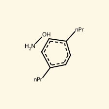 CCCc1ccc(CCC)cc1.NO